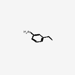 CCc1cccc([AsH2])c1